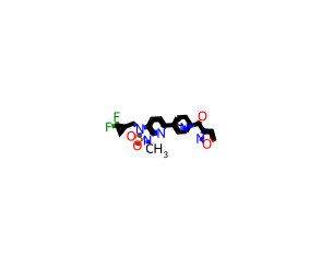 CN1c2nc(C3=CC4CCC3CN4C(=O)c3ccon3)ccc2N(CC2CC2(F)F)S1(=O)=O